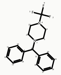 FC(F)(F)N1CCN(C(c2ccccc2)c2ccccc2)CC1